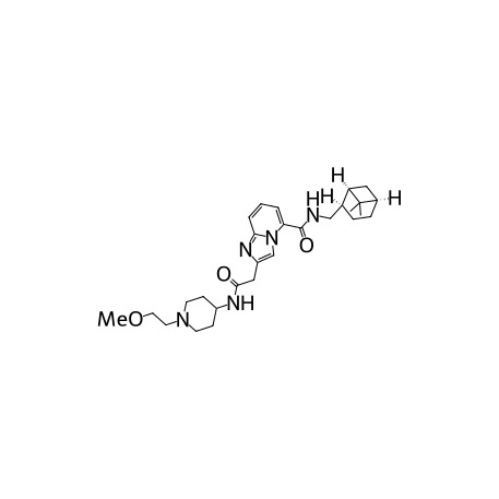 COCCN1CCC(NC(=O)Cc2cn3c(C(=O)NC[C@@H]4CC[C@@H]5C[C@H]4C5(C)C)cccc3n2)CC1